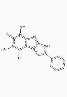 CCCn1c(=O)c2c(nc3[nH]c(-c4ccccc4)cn32)n(CCC)c1=O